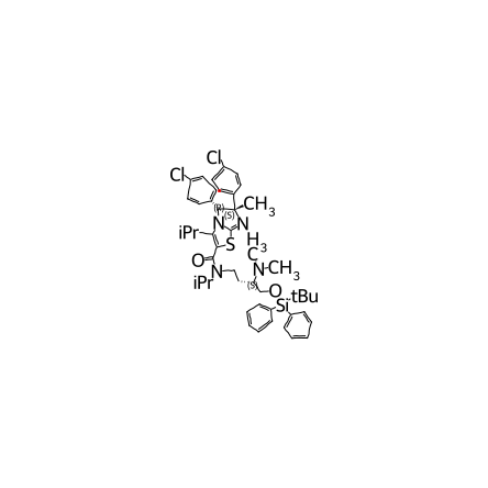 CC(C)C1=C(C(=O)N(CC[C@@H](CO[Si](c2ccccc2)(c2ccccc2)C(C)(C)C)N(C)C)C(C)C)SC2=N[C@@](C)(c3ccc(Cl)cc3)[C@@H](c3ccc(Cl)cc3)N21